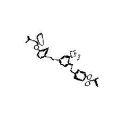 C=C(C)C(=O)Oc1ccc(CCc2ccc(CCc3ccc(OC(=O)C(=C)C)cc3)c(C(F)(F)F)c2)cc1